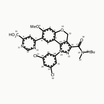 COc1cc2c(cc1-c1cc(C(=O)O)ncn1)-c1c(c(C(=O)N(C)C(C)(C)C)nn1-c1cc(Cl)cc(Cl)c1)CO2